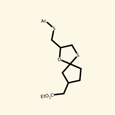 CCOC(=O)CC1CCC2(C1)OC(CSC(C)=O)CS2